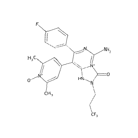 Cc1cc(-c2c(-c3ccc(F)cc3)nc(N)[n+]3c(=O)n(CCC(F)(F)F)[nH]c23)cc(C)[n+]1[O-]